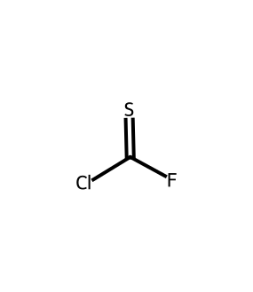 FC(=S)Cl